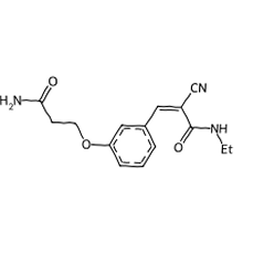 CCNC(=O)C(C#N)=Cc1cccc(OCCC(N)=O)c1